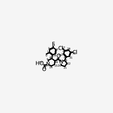 Cc1cc(F)ccc1C1CN(C(=O)O)CCC1C(=O)N1CCCC1c1cc(Cl)cc(Cl)c1